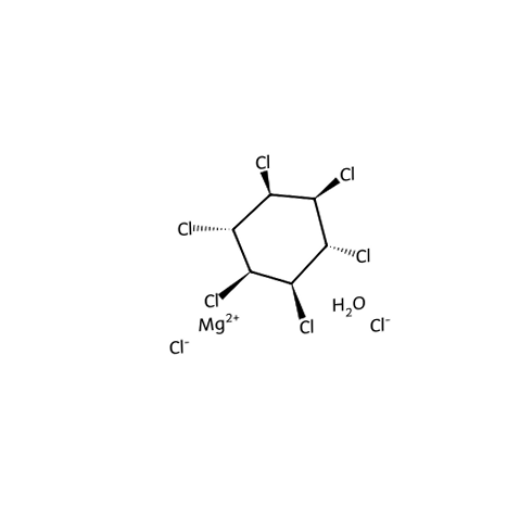 Cl[C@H]1[C@H](Cl)[C@@H](Cl)[C@@H](Cl)[C@H](Cl)[C@H]1Cl.O.[Cl-].[Cl-].[Mg+2]